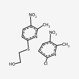 Cc1nc(Cl)ccc1[N+](=O)[O-].Cc1nc(SCCO)ccc1[N+](=O)[O-]